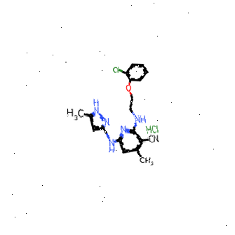 Cc1cc(Nc2cc(C)c(C#N)c(NCCOc3ccccc3Cl)n2)n[nH]1.Cl